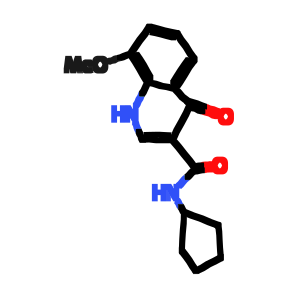 COc1cccc2c(=O)c(C(=O)NC3CCCC3)c[nH]c12